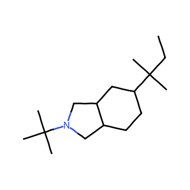 CCC(C)(C)C1CCC2CN(C(C)(C)C)CC2C1